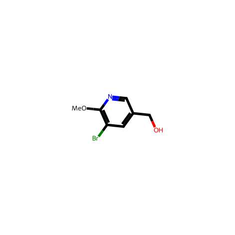 COc1ncc(CO)cc1Br